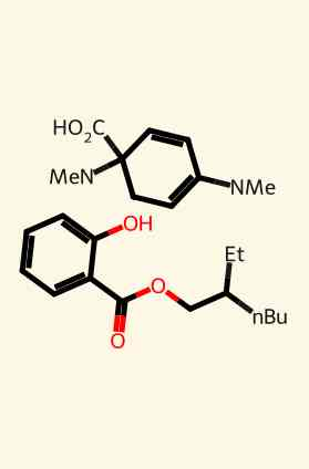 CCCCC(CC)COC(=O)c1ccccc1O.CNC1=CCC(NC)(C(=O)O)C=C1